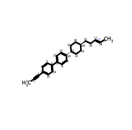 CC#Cc1ccc(-c2ccc([C@H]3CC[C@H](CC/C=C/C)CC3)cc2)cc1